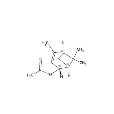 CC(=O)O[C@@H]1C=C(C)[C@@H]2C[C@H]1C2(C)C